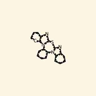 c1ccc2c(c1)nc1sc3nc4ccccc4n3c3ccccc3n12